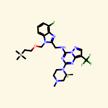 C[C@H]1CN(C)CCN1c1nc(NCc2nc3c(F)cccc3n2COCC[Si](C)(C)C)n2ncc(C(F)(F)F)c2n1